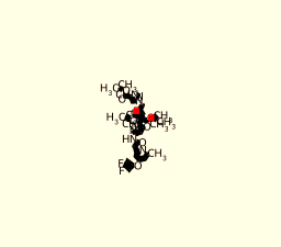 Cc1cc(OC2CC(F)(F)C2)cc(CC(=O)Nc2ccc(C(C[C@@H](F)Cn3cc(C(=O)OC(C)(C)C)nn3)(C(=O)OC(C)(C)C)C(=O)OC(C)(C)C)nn2)n1